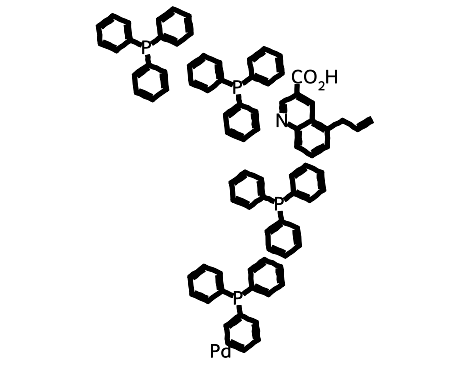 C=CCc1cccc2ncc(C(=O)O)cc12.[Pd].c1ccc(P(c2ccccc2)c2ccccc2)cc1.c1ccc(P(c2ccccc2)c2ccccc2)cc1.c1ccc(P(c2ccccc2)c2ccccc2)cc1.c1ccc(P(c2ccccc2)c2ccccc2)cc1